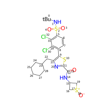 CC(C)(C)NS(=O)(=O)c1ccc(-c2sc(C(=O)NC3C[S+]([O-])C3)nc2CC2CCCCC2)c(Cl)c1Cl